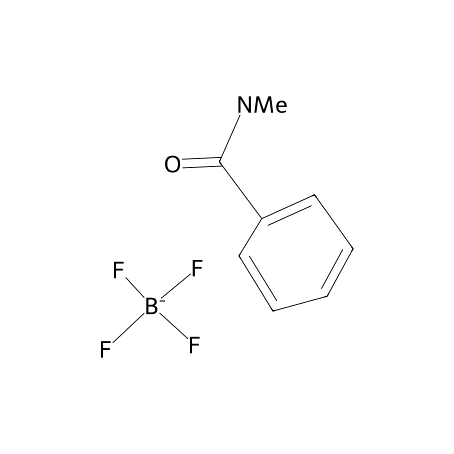 CNC(=O)c1ccccc1.F[B-](F)(F)F